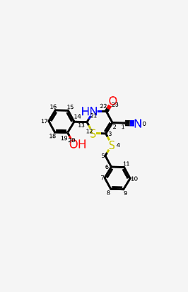 N#CC1=C(SCc2ccccc2)SC(c2ccccc2O)NC1=O